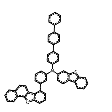 c1ccc(-c2ccc(-c3ccc(N(c4cccc(-c5cccc6oc7c8ccccc8ccc7c56)c4)c4ccc5c(c4)sc4ccccc45)cc3)cc2)cc1